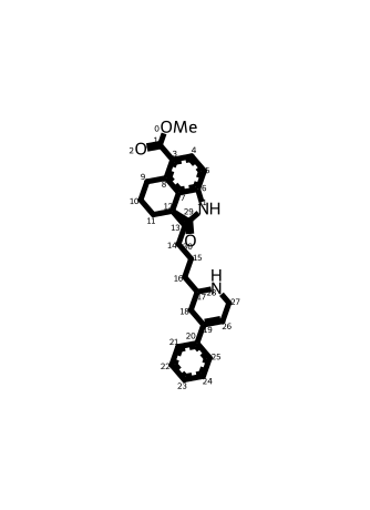 COC(=O)c1ccc2c3c1CCCC3(CCCCC1CC(c3ccccc3)=CCN1)C(=O)N2